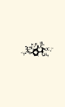 CC(C(=O)O)C(C)c1ccc(OS(C)(=O)=O)cc1CN